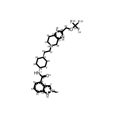 Cn1cc2c(C(=O)N[C@H]3CC[C@H](CCN4CCc5sc(COC(F)(F)F)nc5C4)CC3)cccc2n1